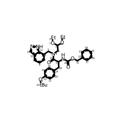 CCOC(CN(Cc1cccc2cn[nH]c12)C(=O)C(Cc1ccc(OC(C)(C)C)cc1)NC(=O)OCc1ccccc1)OCC